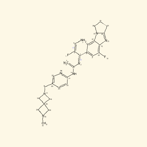 C=C(/N=C(\C(F)=C/N)c1cc(F)c2nc3n(c2c1)CCC3)Nc1ccc(CN2CC3(CN(C)C3)C2)cn1